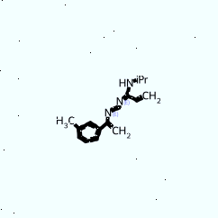 C=C/C(=N\C=N\C(=C)c1cccc(C)c1)NC(C)C